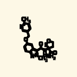 Cc1ccc(COc2ccc3nn(C)c(C(=O)NC4(C(N)=O)CCOS4)c3c2)cn1